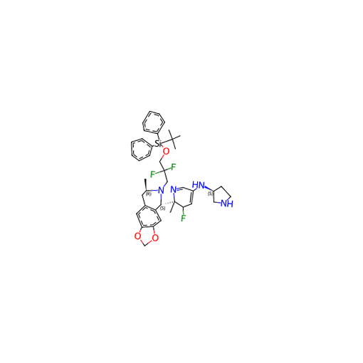 C[C@@H]1Cc2cc3c(cc2[C@@H](C2(C)N=CC(N[C@H]4CCNC4)=CC2F)N1CC(F)(F)CO[Si](c1ccccc1)(c1ccccc1)C(C)(C)C)OCO3